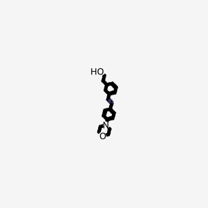 OCCC1C=CC=C(/C=C/c2ccc(N3CCOCC3)cc2)C1